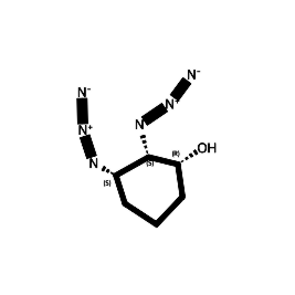 [N-]=[N+]=N[C@@H]1[C@H](O)CCC[C@@H]1N=[N+]=[N-]